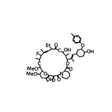 CCC1/C=C(\C)C(F)C(C)CC(OC)C2OC(O)(C(=O)C(=O)N3CCCCC3C(=O)OC(C(C)=CC3CCC(O)C(Oc4ccc(C)cc4)C3)C(C)C(O)CC1=O)C(C)CC2OC